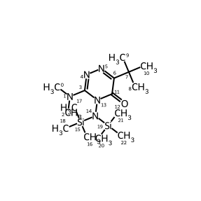 CN(C)c1nnc(C(C)(C)C)c(=O)n1N([Si](C)(C)C)[Si](C)(C)C